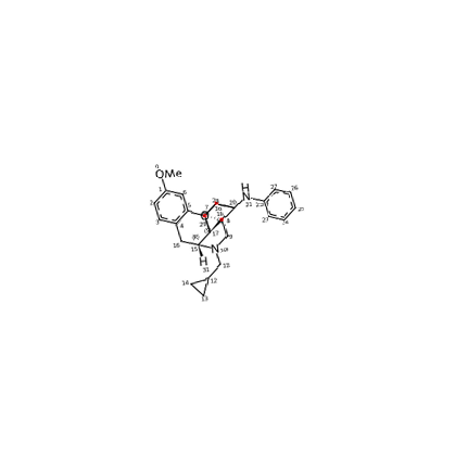 COc1ccc2c(c1)[C@]13CCN(CC4CC4)[C@H](C2)[C@]12CCC(Nc1ccccc1)(CO2)C3